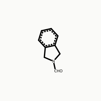 O=CN1Cc2ccccc2C1